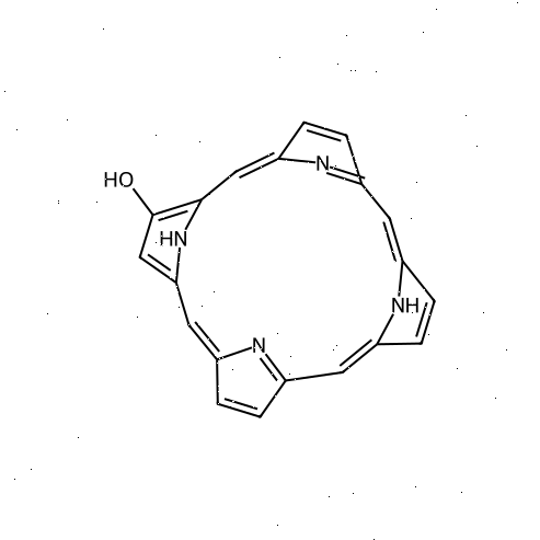 Oc1cc2cc3nc(cc4ccc(cc5nc(cc1[nH]2)C=C5)[nH]4)C=C3